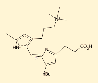 CCCCC1=CC(CCC(=O)O)=N/C1=C\c1[nH]c(C)cc1CCC[N+](C)(C)C